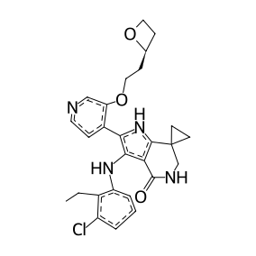 CCc1c(Cl)cccc1Nc1c(-c2ccncc2OCC[C@@H]2CCO2)[nH]c2c1C(=O)NCC21CC1